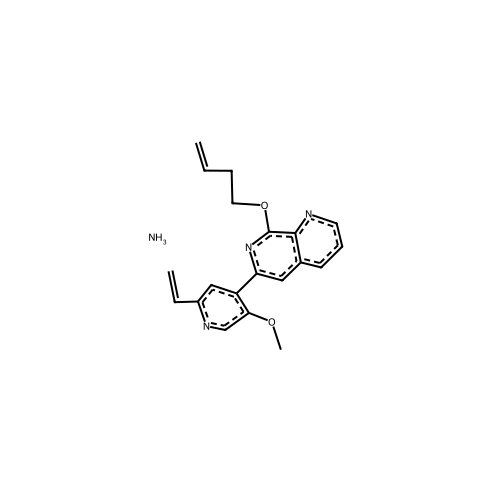 C=CCCOc1nc(-c2cc(C=C)ncc2OC)cc2cccnc12.N